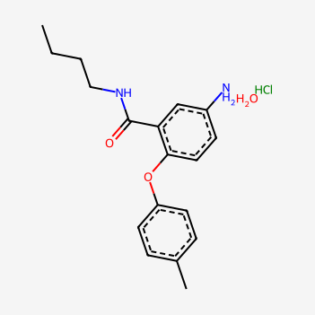 CCCCNC(=O)c1cc(N)ccc1Oc1ccc(C)cc1.Cl.O